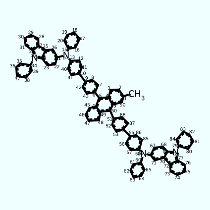 Cc1ccc2c(-c3ccc(-c4ccc(N(c5ccccc5)c5ccc6c(c5)c5ccccc5n6-c5ccccc5)cc4)cc3)c3ccccc3c(-c3ccc(-c4ccc(N(c5ccccc5)c5ccc6c(c5)c5ccccc5n6-c5ccccc5)cc4)cc3)c2c1